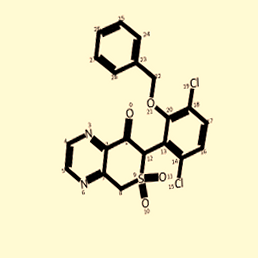 O=C1c2nccnc2CS(=O)(=O)C1c1c(Cl)ccc(Cl)c1OCc1ccccc1